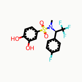 CN([C@H](c1ccc(F)cc1)C(F)(F)F)S(=O)(=O)c1ccc(O)c(O)c1